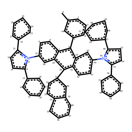 Cc1cccc(-c2c3ccc(-n4c(-c5ccccc5)ccc4-c4ccccc4)cc3c(-c3ccc4ccccc4c3)c3ccc(-n4c(-c5ccccc5)ccc4-c4ccccc4)cc23)c1